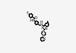 Cc1ccc2nc(N3CCN(c4ccccn4)CC3)nc(NCc3ccc(NC(=O)c4ccc(F)cc4)cc3)c2c1